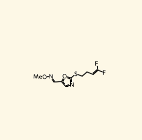 CON=Cc1cnc(SCCC=C(F)F)o1